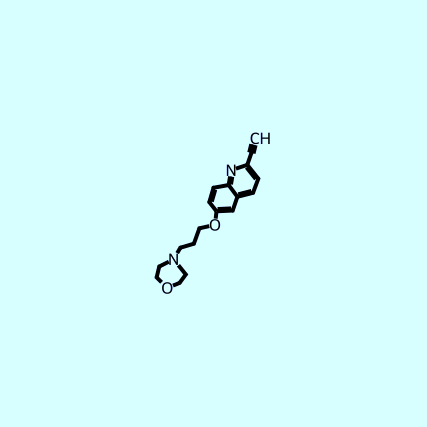 C#Cc1ccc2cc(OCCCN3CCOCC3)ccc2n1